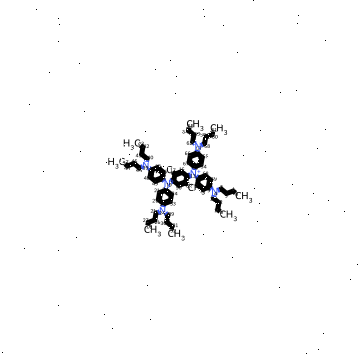 CCCCN(CCCC)c1ccc([N+](=C2C=C(C)C(=[N+](c3ccc(N(CCCC)CCCC)cc3)c3ccc(N(CCCC)CCCC)cc3)C=C2C)c2ccc(N(CCCC)CCCC)cc2)cc1